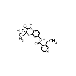 CCc1cnccc1C(=O)Nc1ccc2c(c1)CC(C)(CC)C(=O)N2